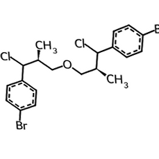 C[C@@H](COC[C@H](C)C(Cl)c1ccc(Br)cc1)C(Cl)c1ccc(Br)cc1